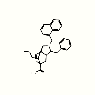 CCCC1C2C3C=NC1(C(N)=O)CC3C(Cc1ccccc1)N2Cc1cccc2ccccc12